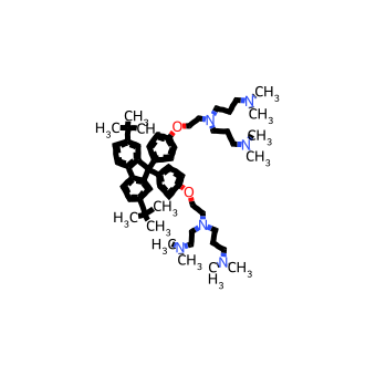 CN(C)CCCN(CCCN(C)C)CCOc1ccc(C2(c3ccc(OCCN(CCCN(C)C)CCN(C)C)cc3)c3cc(C(C)(C)C)ccc3-c3ccc(C(C)(C)C)cc32)cc1